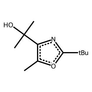 Cc1oc(C(C)(C)C)nc1C(C)(C)O